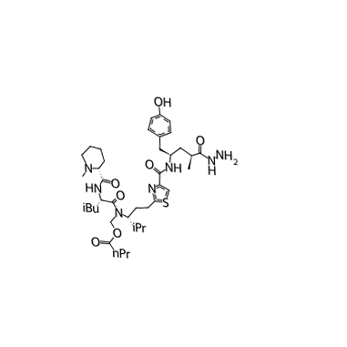 CCCC(=O)OCN(C(=O)[C@@H](NC(=O)[C@H]1CCCCN1C)C(C)CC)[C@H](CCc1nc(C(=O)N[C@@H](Cc2ccc(O)cc2)C[C@H](C)C(=O)NN)cs1)C(C)C